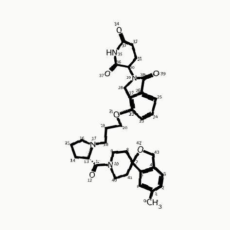 Cc1ccc2c(c1)C1(CCN(C(=O)[C@@H]3CCCN3CCCOc3cccc4c3CN(C3CCC(=O)NC3=O)C4=O)CC1)OC2